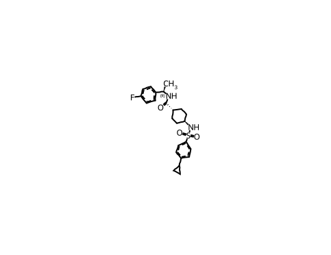 C[C@@H](NC(=O)[C@H]1CC[C@H](NS(=O)(=O)c2ccc(C3CC3)cc2)CC1)c1ccc(F)cc1